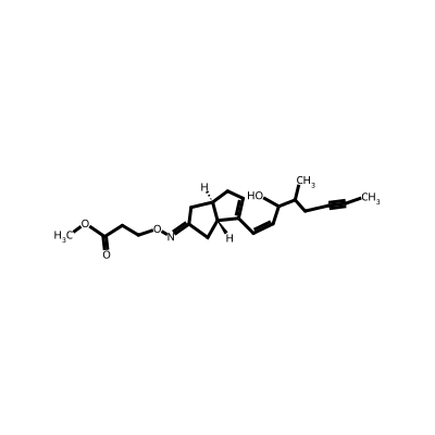 CC#CCC(C)C(O)/C=C\C1=CC[C@@H]2C/C(=N\OCCC(=O)OC)C[C@@H]12